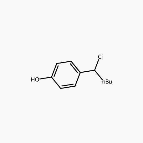 CCCCC(Cl)c1ccc(O)cc1